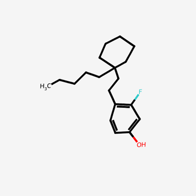 CCCCCC1(CCc2ccc(O)cc2F)CCCCC1